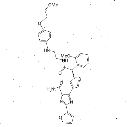 COCCOc1ccc(NCCNC(=O)[C@@H](c2ccccc2OC)n2ncc3c2nc(N)n2nc(-c4ccco4)nc32)cc1